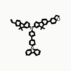 C=Cc1ccc2c(c1)C(C)(C)c1cc(N(c3ccc(-c4ccc(-n5c6ccccc6c6ccccc65)cc4)cc3)c3ccc4c(c3)C(C)(C)c3cc(-c5ccc6c(c5)CCO6)ccc3-4)ccc1-2